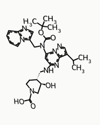 CC(C)c1cnn2c(N(Cc3cnc4ccccn34)C(=O)OC(C)(C)C)cc(NC[C@H]3CCN(C(=O)O)C[C@@H]3O)nc12